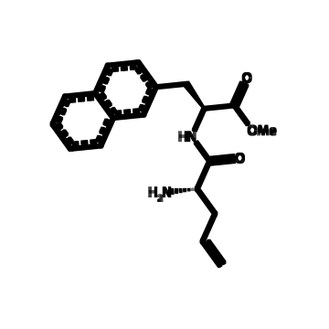 C=CC[C@H](N)C(=O)N[C@@H](Cc1ccc2ccccc2c1)C(=O)OC